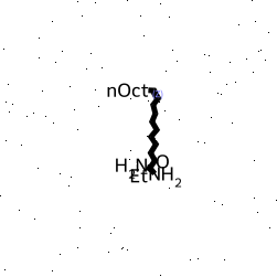 CCCCCCCC/C=C\CCCCCCCC(=O)C(N)(N)CC